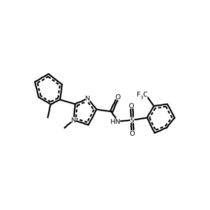 Cc1ccccc1-c1nc(C(=O)NS(=O)(=O)c2ccccc2C(F)(F)F)cn1C